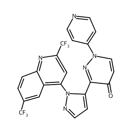 O=c1ccn(-c2ccncc2)nc1-c1ccnn1-c1cc(C(F)(F)F)nc2ccc(C(F)(F)F)cc12